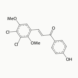 COc1cc(C=CC(=O)c2ccc(O)cc2)c(OC)c(Cl)c1Cl